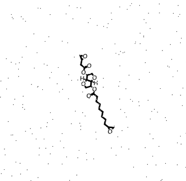 O=C(CCCCCCCCC1CO1)O[C@H]1CO[C@H]2[C@@H]1OC[C@H]2OC(=O)CC1CO1